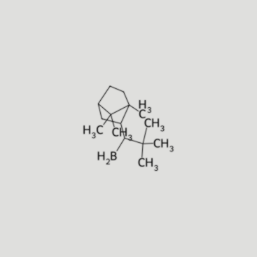 BC(C1CC2CCC1(C)C2(C)C)C(C)(C)C